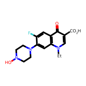 CCn1cc(C(=O)O)c(=O)c2cc(F)c(N3CCN(O)CC3)cc21